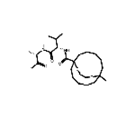 CC(=O)[C@H](C)NC(=O)[C@@H](NC(=O)C12CCCCCC(C)(CCCCC1)CCCC2)C(C)C